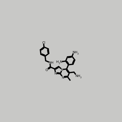 Cc1nc2nc(C(=O)NCc3ccc(Cl)cc3)cn2c(-c2ccc(N)cc2N)c1CN